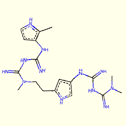 Cc1[nH]ccc1NC(=N)NC(=N)N(C)CCc1cc(NC(=N)NC(=N)N(C)C)c[nH]1